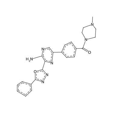 CN1CCN(C(=O)c2ccc(-c3cnc(N)c(-c4nnc(-c5ccccc5)o4)n3)cc2)CC1